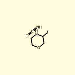 FC1COCCN1.N=C=O